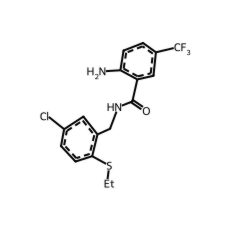 CCSc1ccc(Cl)cc1CNC(=O)c1cc(C(F)(F)F)ccc1N